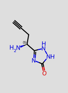 C#CC[C@H](N)c1nc(=O)[nH][nH]1